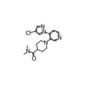 CN(C)C(=O)C1CCN(c2cnccc2-n2cc(Cl)cn2)CC1